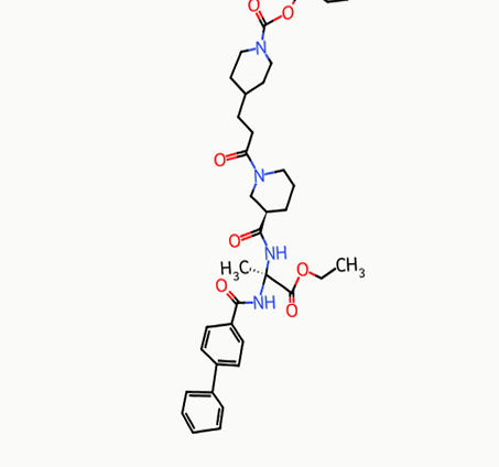 CCOC(=O)[C@@](C)(NC(=O)c1ccc(-c2ccccc2)cc1)NC(=O)[C@@H]1CCCN(C(=O)CCC2CCN(C(=O)OCc3ccccc3)CC2)C1